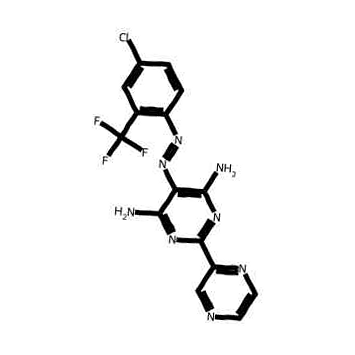 Nc1nc(-c2cnccn2)nc(N)c1/N=N/c1ccc(Cl)cc1C(F)(F)F